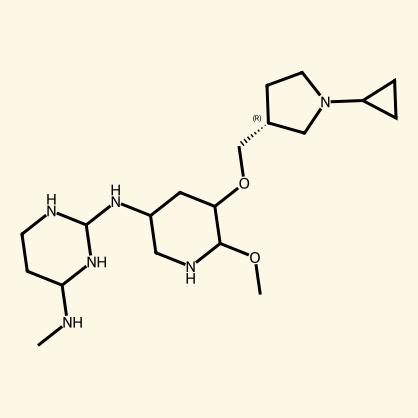 CNC1CCNC(NC2CNC(OC)C(OC[C@@H]3CCN(C4CC4)C3)C2)N1